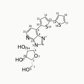 OC[C@H]1O[C@@H](n2cnc3c(-c4ccc(-c5cccs5)s4)ccnc32)[C@@H](O)C1O